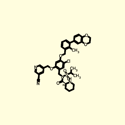 Cc1c(COc2cc(OCc3cncc(C#N)c3)c(CN(C(=O)[C@@H]3CCCCN3)S(=O)(=O)C(C)C)cc2Cl)cccc1-c1ccc2c(c1)OCCO2